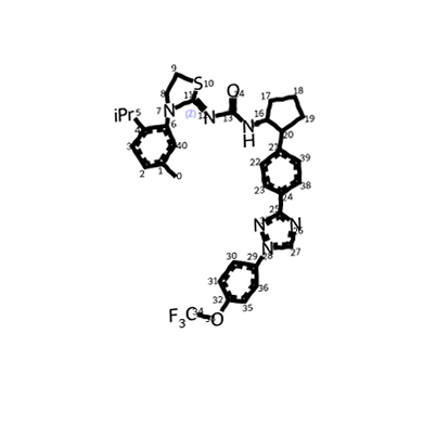 Cc1ccc(C(C)C)c(N2CCS/C2=N\C(=O)NC2CCCC2c2ccc(-c3ncn(-c4ccc(OC(F)(F)F)cc4)n3)cc2)c1